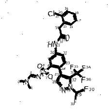 CN(C)C=NS(=O)(=O)c1cc(NC(=O)Cc2ccccc2Cl)ccc1-c1cnn(C(F)F)c1C(F)(F)F